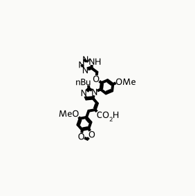 CCCCc1ncc(/C=C(\Cc2cc3c(cc2OC)OCO3)C(=O)O)n1-c1ccc(OC)cc1OCc1nnn[nH]1